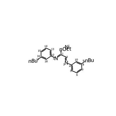 CCCCCCCCC(C=Nc1cccc(CCCC)c1)=Nc1cccc(CCCC)c1.[Ni]